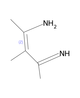 CC(=N)/C(C)=C(/C)N